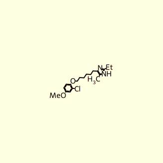 CCc1nc(CCCCCCOc2ccc(OC)cc2Cl)c(C)[nH]1